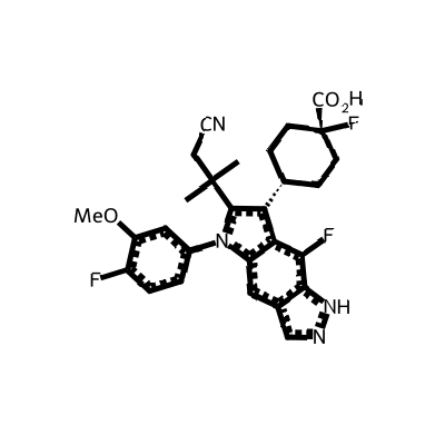 COc1cc(-n2c(C(C)(C)CC#N)c([C@H]3CC[C@](F)(C(=O)O)CC3)c3c(F)c4[nH]ncc4cc32)ccc1F